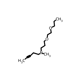 CC#CCCN(C)CCCOCCOCCC